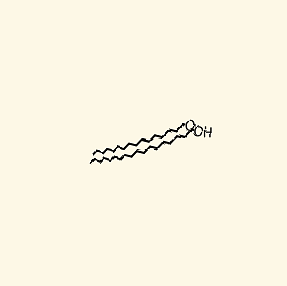 CCCCCCCCCCCCCCCCCCO.CCCCCCCCCCCCCCCC[O]